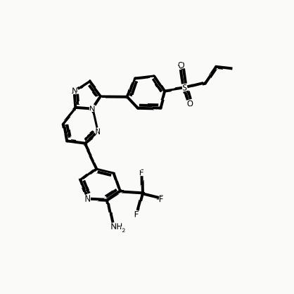 CCCS(=O)(=O)c1ccc(-c2cnc3ccc(-c4cnc(N)c(C(F)(F)F)c4)nn23)cc1